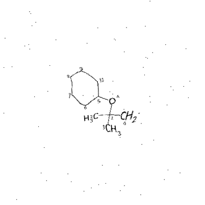 [CH2]C(C)(C)OC1CCCCC1